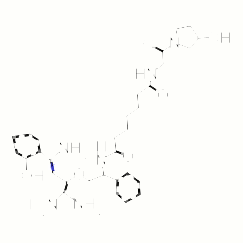 NC(N)=C(/C=C(\N)c1ccccc1O)OCC(NC(=O)CCCCCC(=O)NCC(=O)N1CCC(O)C1)c1ccccc1